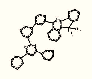 CC1(C)c2ccccc2-c2nc(-c3cccc(-c4cccc(-c5nc(-c6ccccc6)cc(-c6ccccc6)n5)c4)c3)c3ccccc3c21